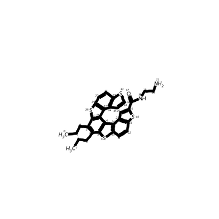 CCCc1c(CCC)c2sc3ccc4sc(C(=O)NCCN)cc4c3c2c2c1sc1ccc3sccc3c12